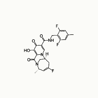 Cc1cc(F)c(CNC(=O)c2cn3c(c(O)c2=O)C(=O)N2C[C@@H]3CC(F)=C[C@@H]2C)c(F)c1